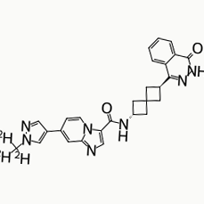 [2H]C([2H])([2H])n1cc(-c2ccn3c(C(=O)N[C@H]4CC5(C4)C[C@H](c4n[nH]c(=O)c6ccccc64)C5)cnc3c2)cn1